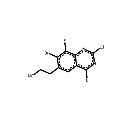 N#CCCc1cc2c(Cl)nc(Cl)nc2c(F)c1Br